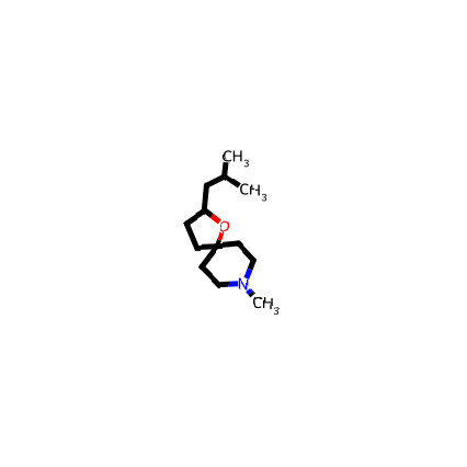 CC(C)CC1CCC2(CCN(C)CC2)O1